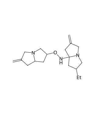 C=C1CC2CC(ONC34CC(=C)CN3CC(CC)C4)CN2C1